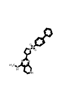 CNc1nc(C2CCN(S(=O)(=O)c3ccc(-c4ccccc4)cc3)C2)nc2c1CCNC2